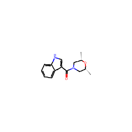 C[C@@H]1CN(C(=O)c2c[nH]c3ccccc23)C[C@H](C)O1